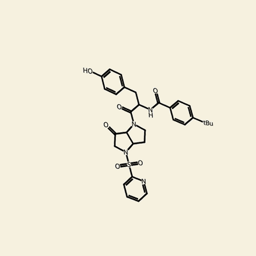 CC(C)(C)c1ccc(C(=O)NC(Cc2ccc(O)cc2)C(=O)N2CCC3C2C(=O)CN3S(=O)(=O)c2ccccn2)cc1